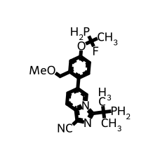 COCc1cc(OC(C)(F)P)ccc1-c1ccc2c(C#N)nc(C(C)(C)P)n2c1